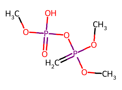 C=P(OC)(OC)OP(=O)(O)OC